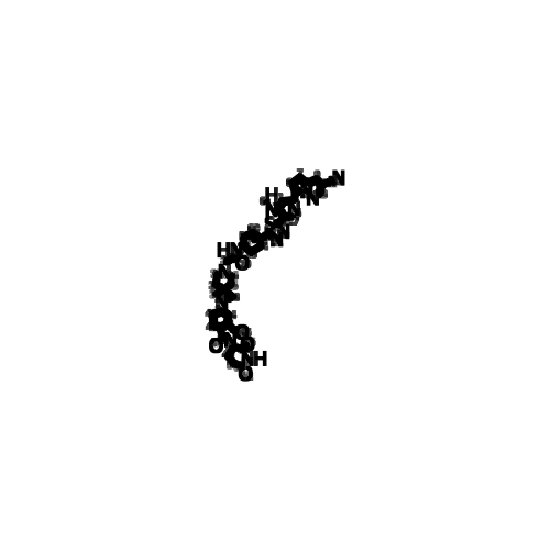 CNc1cc(-c2ccc3cc(C#N)cnn23)ncc1-c1nnc(C23CCC(NC(=O)CN4CCC5(CC4)CN(c4ccc6c(c4)C(=O)N(C4CCC(=O)NC4=O)C6=O)C5)(CC2)CC3)s1